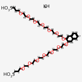 O=S(=O)(O)CCCOCCOCCOCCOCCOCCOCCOc1cc2ccccc2cc1OCCOCCOCCOCCOCCOCCOCCCS(=O)(=O)O.[KH]